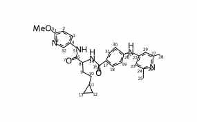 COc1ccc(NC(=O)C(CCC2CC2)NC(=O)c2ccc(Nc3cc(C)nc(C)c3)cc2)cn1